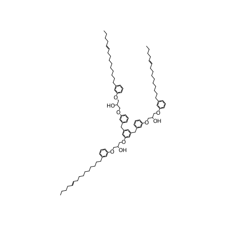 CCCC/C=C/CCCCCCCCCc1cccc(OCC(O)COc2cccc(Cc3cc(Cc4cccc(OCC(O)COc5cccc(CCCCCCCCC/C=C/CCCC)c5)c4)cc(OCC(O)COc4cccc(CCCCCCCCC/C=C/CCCC)c4)c3)c2)c1